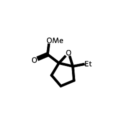 CCC12CCCC1(C(=O)OC)O2